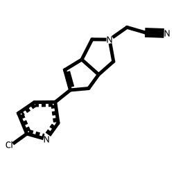 N#CCN1CC2C=C(c3ccc(Cl)nc3)CC2C1